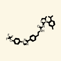 Cc1ccc(C(C)C)c(N2C(=NC(=O)NCCc3ccc(-c4ncn(-c5ccc(OC(F)(F)F)cc5)n4)cc3)SCC2C)c1